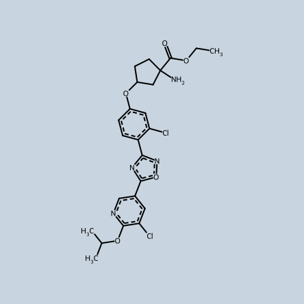 CCOC(=O)C1(N)CCC(Oc2ccc(-c3noc(-c4cnc(OC(C)C)c(Cl)c4)n3)c(Cl)c2)C1